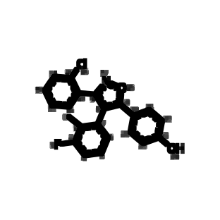 Cc1c(F)cccc1-c1c(-c2ccccc2Cl)noc1-c1ccc(O)cc1